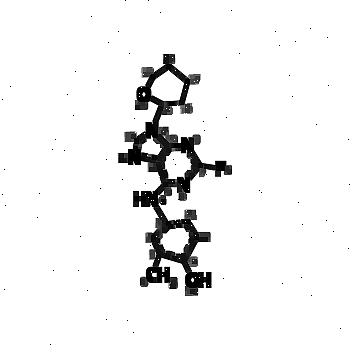 Cc1cc(Nc2nc(F)nc3c2ncn3C2CCCCO2)ccc1O